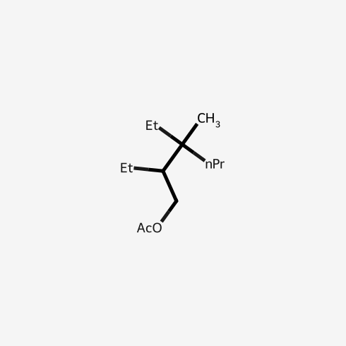 CCCC(C)(CC)C(CC)COC(C)=O